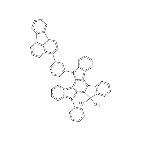 CC1(C)c2ccccc2-c2c1c1c(c3ccccc3n1-c1ccccc1)c1c2c2ccccc2n1-c1cccc(-c2ccc3c4c(cccc24)-c2ccccc2-3)c1